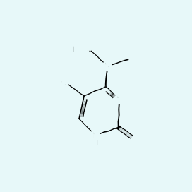 CC(=O)N([SiH3])c1nc(=O)[nH]cc1[SiH3]